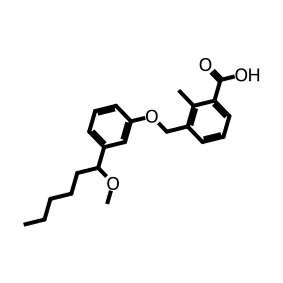 CCCCCC(OC)c1cccc(OCc2cccc(C(=O)O)c2C)c1